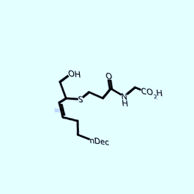 CCCCCCCCCCCC/C=C\C(CO)SCCC(=O)NCC(=O)O